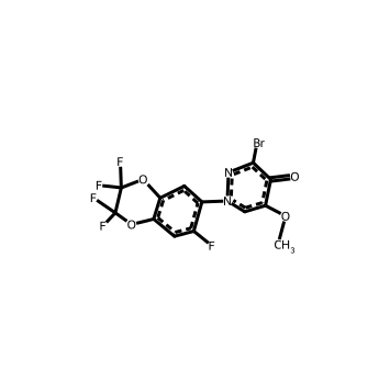 COc1cn(-c2cc3c(cc2F)OC(F)(F)C(F)(F)O3)nc(Br)c1=O